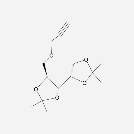 C#CCOC[C@@H]1OC(C)(C)O[C@H]1[C@@H]1COC(C)(C)O1